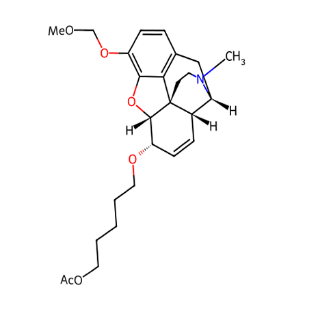 COCOc1ccc2c3c1O[C@H]1[C@@H](OCCCCCOC(C)=O)C=C[C@H]4[C@@H](C2)N(C)CC[C@@]341